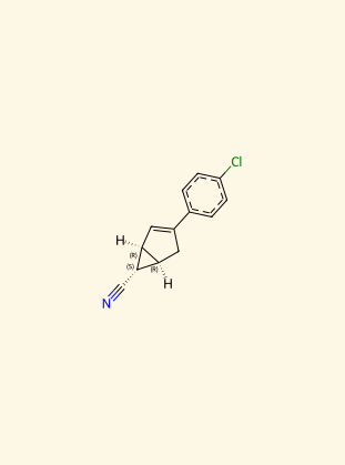 N#C[C@@H]1[C@H]2C=C(c3ccc(Cl)cc3)C[C@@H]12